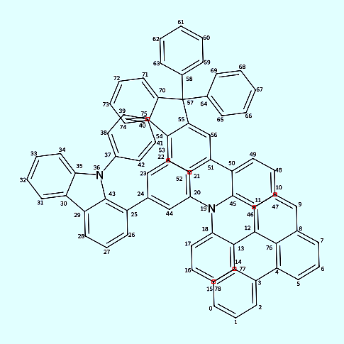 c1ccc(-c2cccc3cccc(-c4ccccc4N(c4cccc(-c5cccc6c7ccccc7n(-c7ccccc7)c56)c4)c4ccccc4-c4ccc5c(c4)C(c4ccccc4)(c4ccccc4)c4ccccc4-5)c23)cc1